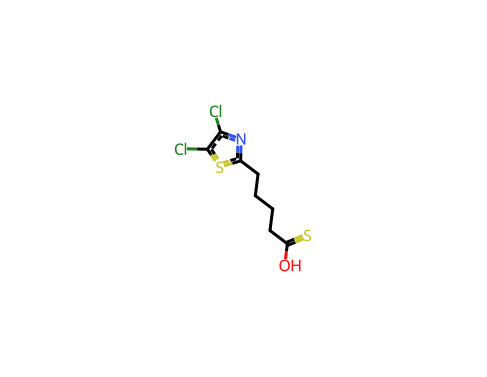 OC(=S)CCCCc1nc(Cl)c(Cl)s1